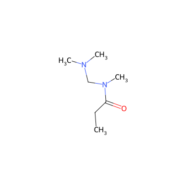 CCC(=O)N(C)CN(C)C